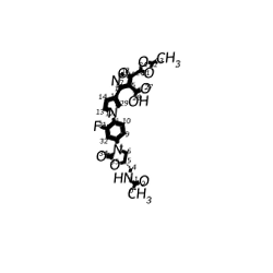 CC(=O)NC[C@H]1CN(c2ccc(-n3ccc(-c4noc(C5OC(C)O5)c4C(=O)O)c3)c(F)c2)C(=O)O1